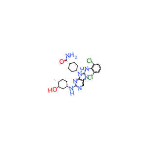 C[C@@H]1CCC(Nc2ncc3nc(Nc4c(Cl)cccc4Cl)n([C@H]4CC[C@@H](C(N)=O)CC4)c3n2)C[C@H]1O